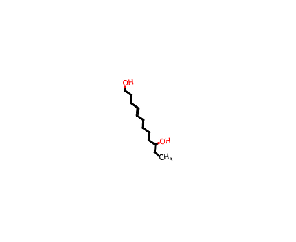 CCC(O)CCCC/C=C/CCCO